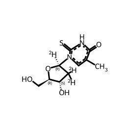 [2H]C1([2H])[C@H](O)[C@@H](CO)O[C@@]1([2H])n1cc(C)c(=O)[nH]c1=S